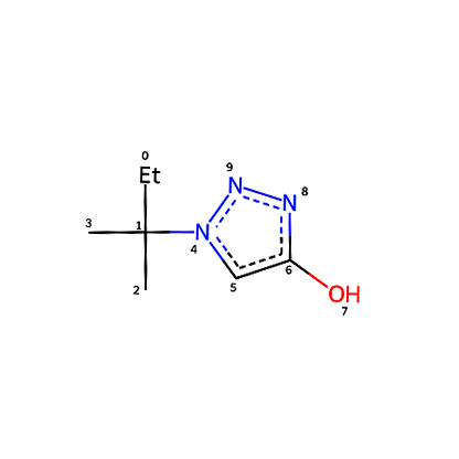 CCC(C)(C)n1cc(O)nn1